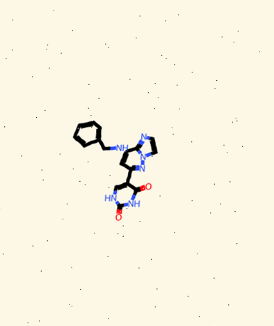 O=c1[nH]cc(-c2cc(NCc3ccccc3)c3nccn3n2)c(=O)[nH]1